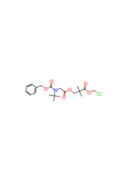 CC(C)(COC(=O)CN(C(=O)OCc1ccccc1)C(C)(C)C)C(=O)OCCl